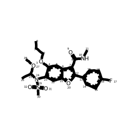 CCCOc1cc2c(C(=O)NC)c(-c3ccc(F)cc3)oc2cc1N(C(C)OC)S(C)(=O)=O